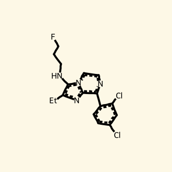 CCc1nc2c(-c3ccc(Cl)cc3Cl)nccn2c1NCCCF